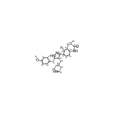 COc1ccc(Cc2[nH]nc(-c3ccc4c(c3F)CC(C)C(=O)N4)c2CC2CCNCC2)cc1